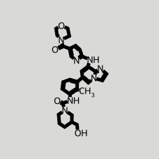 Cc1c(NC(=O)N2CCCC(CO)C2)cccc1-c1cc(Nc2ccc(C(=O)N3CCOCC3)cn2)c2nccn2c1